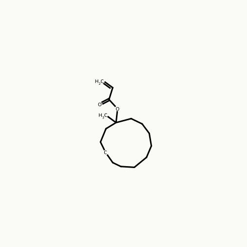 C=CC(=O)OC1(C)CCCCCCCCCCC1